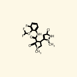 CN1CC(C2=CC(Cl)NN2C)C(C(=O)Nc2cccc(F)c2OC(F)F)C1=O